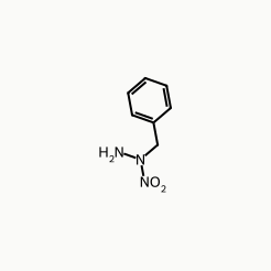 NN(Cc1ccccc1)[N+](=O)[O-]